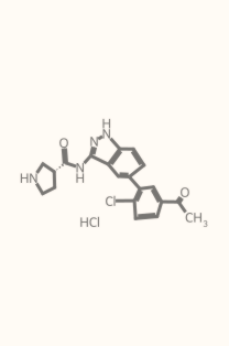 CC(=O)c1ccc(Cl)c(-c2ccc3[nH]nc(NC(=O)[C@@H]4CCNC4)c3c2)c1.Cl